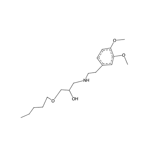 CCCCCOCC(O)CNCCc1ccc(OC)c(OC)c1